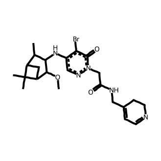 COC1C(Nc2cnn(CC(=O)NCC3=CC=NCC3)c(=O)c2Br)C(C)C2CC1C2(C)C